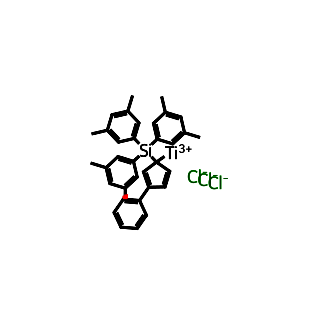 Cc1cc(C)cc([Si](c2cc(C)cc(C)c2)(c2cc(C)cc(C)c2)[C]2([Ti+3])C=CC(c3ccccc3)=C2)c1.[Cl-].[Cl-].[Cl-]